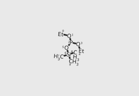 CCOP(OCC)O[Si](C)(C)C